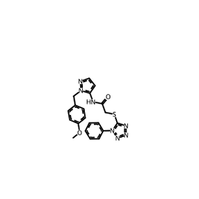 COc1ccc(Cn2nccc2NC(=O)CSc2nnnn2-c2ccccc2)cc1